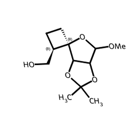 COC1O[C@@]2(CC[C@@H]2CO)C2OC(C)(C)OC12